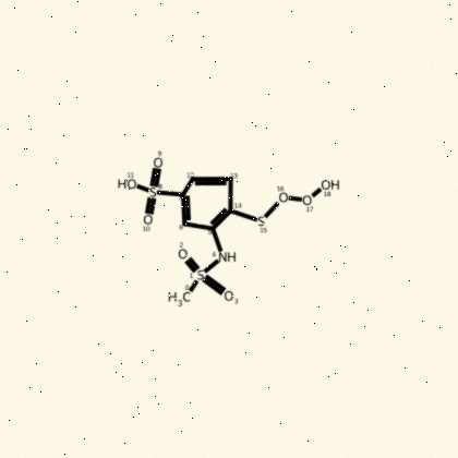 CS(=O)(=O)Nc1cc(S(=O)(=O)O)ccc1SOOO